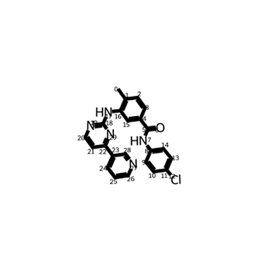 Cc1ccc(C(=O)Nc2ccc(Cl)cc2)cc1Nc1nccc(-c2cccnc2)n1